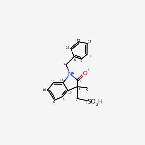 CC1(CS(=O)(=O)O)C(=O)N(Cc2ccccc2)c2ccccc21